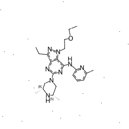 CCOCCn1nc(CC)c2nc(N3C[C@@H](C)N[C@@H](C)C3)nc(Nc3cccc(C)n3)c21